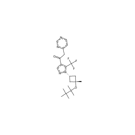 CC(C)(C)[Si](C)(C)O[C@]1(C)C[C@H](n2ncc(C(=O)Cc3ccncn3)c2C(F)(F)F)C1